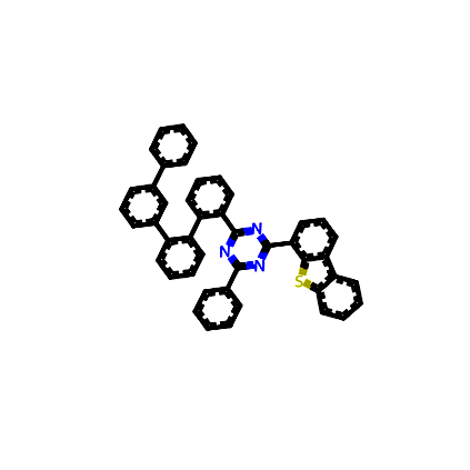 c1ccc(-c2cccc(-c3ccccc3-c3ccccc3-c3nc(-c4ccccc4)nc(-c4cccc5c4sc4ccccc45)n3)c2)cc1